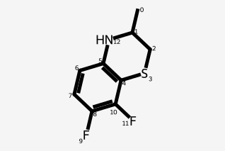 CC1CSc2c(ccc(F)c2F)N1